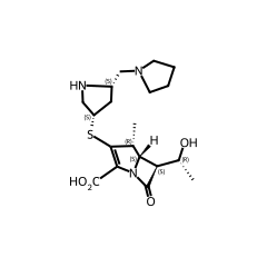 C[C@@H](O)[C@H]1C(=O)N2C(C(=O)O)=C(S[C@@H]3CN[C@H](CN4CCCC4)C3)[C@H](C)[C@H]12